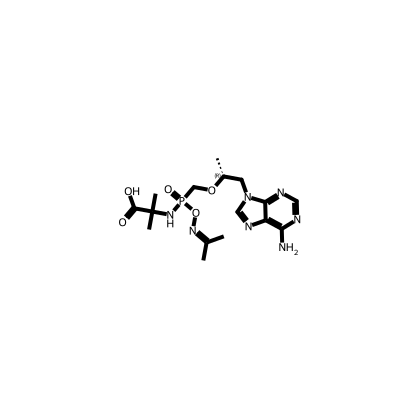 CC(C)=NOP(=O)(CO[C@H](C)Cn1cnc2c(N)ncnc21)NC(C)(C)C(=O)O